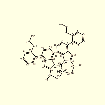 CCCc1ccccc1-c1cccc2c1C=C(C(C)C)[CH]2[Zr]([CH]1C(C(C)C)=Cc2c(-c3ccccc3CCC)cccc21)[SiH](C)C